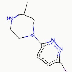 CC1CN(c2ccc(I)nn2)CCN1